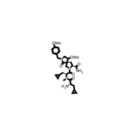 COc1ccc(CN2CC(OC)[C@@]3(C[C@@H](C(N)=O)N(C(=O)[C@H](CC4CC4)N(C)C(=O)[C@@H](N)CC4CC4)C3)C2=O)cc1